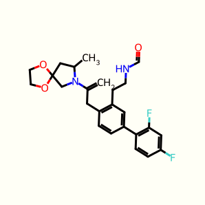 C=C(Cc1ccc(-c2ccc(F)cc2F)cc1CCNC=O)N1CC2(CC1C)OCCO2